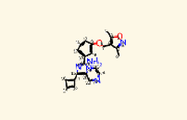 Cc1noc(C)c1COc1cccc(C2=NC(C3=CC=C3)=C3C=NC=C[N+]23N)c1